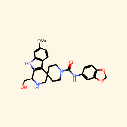 COc1ccc2c3c([nH]c2c1)[C@H](CO)NCC31CCN(C(=O)Nc2ccc3c(c2)OCO3)CC1